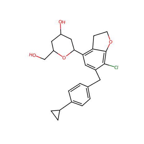 OCC1CC(O)CC(c2cc(Cc3ccc(C4CC4)cc3)c(Cl)c3c2CCO3)O1